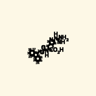 N=C(N)Nc1ccc(C[C@H](NC(=O)OCC2c3ccccc3-c3ccccc32)C(=O)O)cn1